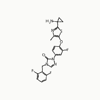 Cc1nc(C2(N)CC2)sc1Oc1ccc(-n2ncn(Cc3c(F)cccc3F)c2=O)cc1F